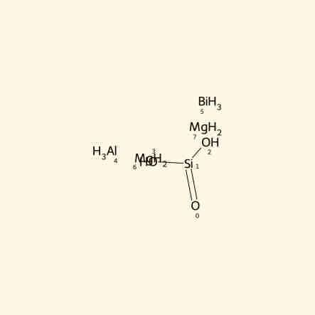 O=[Si](O)O.[AlH3].[BiH3].[MgH2].[MgH2]